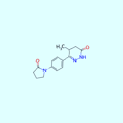 CC1CC(=O)NN=C1c1ccc(N2CCCC2=O)cc1